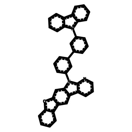 c1cc(-c2cccc(-n3c4cc5oc6ccccc6c5cc4c4cccnc43)c2)cc(-n2c3ccccc3c3ccccc32)c1